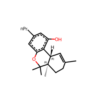 CCCc1cc(O)c2c(c1)OC(C)(C)[C@]1(C)CCC(C)=C[C@@H]21